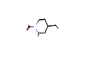 BC(=O)N1CCC(CC(=O)O)CC1C(=O)O